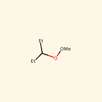 [C]OO[C](CC)CC